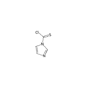 S=C(Cl)n1ccnc1